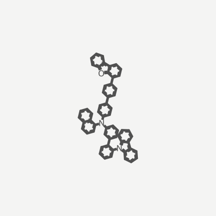 c1cc(-c2ccccc2-n2c3ccccc3c3ccccc32)cc(N(c2ccc(-c3ccc(-c4cccc5c4oc4ccccc45)cc3)cc2)c2cccc3ccccc23)c1